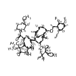 Cc1nc2c(OCc3c(F)ccc(F)c3F)cccn2c1-c1nc2c(c(C(=O)N3CCN(C)CC3)n1)C(C)(C)C(=O)N2.O=C(O)C(F)(F)F